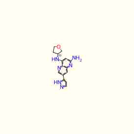 Nc1cc(N[C@H]2CCOC2)c2ncc(-c3ccn[nH]3)cc2n1